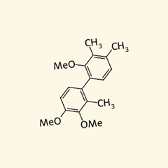 COc1ccc(-c2ccc(C)c(C)c2OC)c(C)c1OC